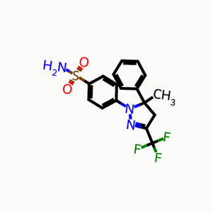 CC1(c2ccccc2)CC(C(F)(F)F)=NN1c1ccc(S(N)(=O)=O)cc1